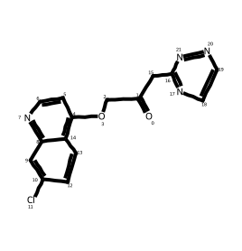 O=C(COc1ccnc2cc(Cl)ccc12)Cc1nccnn1